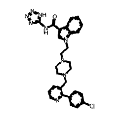 O=C(Nc1nnn[nH]1)c1cn(CCN2CCN(Cc3cccnc3-c3ccc(Cl)cc3)CC2)c2ccccc12